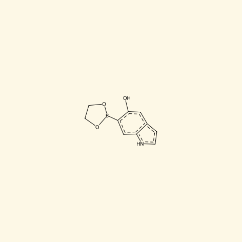 Oc1cc2cc[nH]c2cc1B1OCCO1